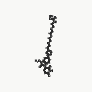 Cn1c(=O)n(C2CCC(=O)NC2=O)c2ccc(-c3cn(CCOCCOCCOCCNC(=O)OC(C)(C)C)nn3)cc21